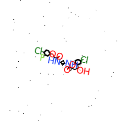 C[C@]1(C(=O)NC23CC(NC(=O)COc4ccc(Cl)c(F)c4)(C2)C3)C[C@@H](O)c2cc(Cl)ccc2O1